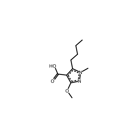 CCCCc1c(C(=O)O)c(OC)nn1C